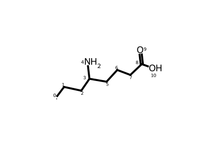 [CH2]CCC(N)CCCC(=O)O